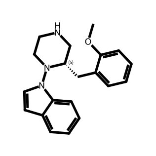 COc1ccccc1C[C@H]1CNCCN1n1ccc2ccccc21